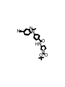 Cc1nc2cc(C#N)ccc2n1-c1ccc(C(=O)NC2CCN(C(=O)OC(C)(C)C)C2)cc1